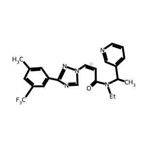 CCN(C(=O)/C=C\n1cnc(-c2cc(C)cc(C(F)(F)F)c2)n1)C(C)c1cccnc1